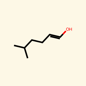 CC(C)CCC=CO